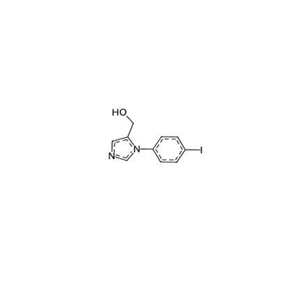 OCc1cncn1-c1ccc(I)cc1